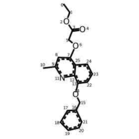 CCOC(=O)COc1cc(C)nc2c(OCc3ccccc3)cccc12